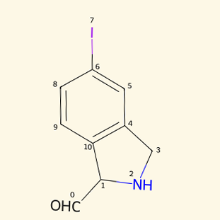 O=CC1NCc2cc(I)ccc21